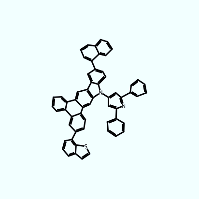 c1ccc(-c2cc(-n3c4ccc(-c5cccc6ccccc56)cc4c4cc5c6ccccc6c6cc(-c7cccc8ccsc78)ccc6c5cc43)cc(-c3ccccc3)n2)cc1